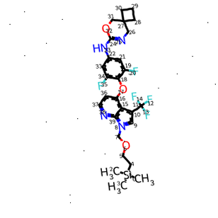 C[Si](C)(C)CCOCn1cc(C(F)(F)F)c2c(Oc3c(F)cc(NC4=NCC5(CCC5)CO4)cc3F)ccnc21